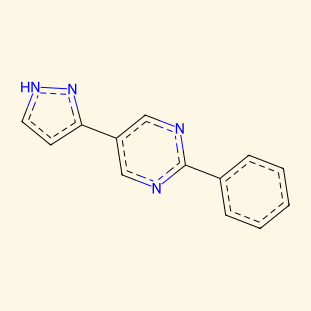 c1ccc(-c2ncc(-c3cc[nH]n3)cn2)cc1